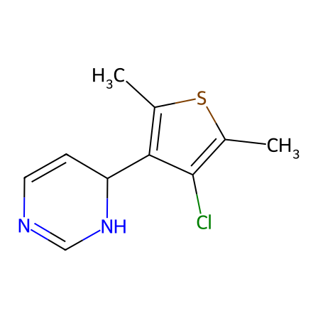 Cc1sc(C)c(C2C=CN=CN2)c1Cl